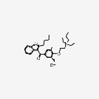 CCCCc1oc2ccccc2c1C(=O)c1cc(I)c(OCC[N+](CC)(CC)CCC)c(I)c1.[Br-]